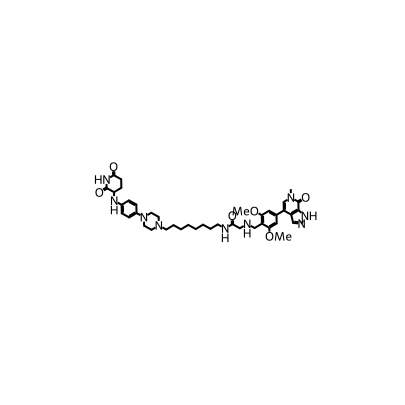 COc1cc(-c2cn(C)c(=O)c3[nH]ncc23)cc(OC)c1CNCC(=O)NCCCCCCCCN1CCN(c2ccc(NC3CCC(=O)NC3=O)cc2)CC1